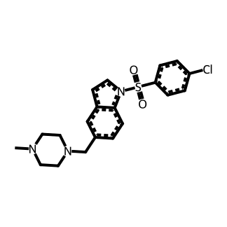 CN1CCN(Cc2ccc3c(ccn3S(=O)(=O)c3ccc(Cl)cc3)c2)CC1